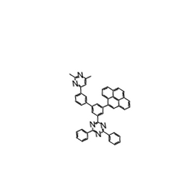 Cc1cc(-c2cccc(-c3cc(-c4nc(-c5ccccc5)nc(-c5ccccc5)n4)cc(-c4cc5cccc6ccc7cccc4c7c65)c3)c2)nc(C)n1